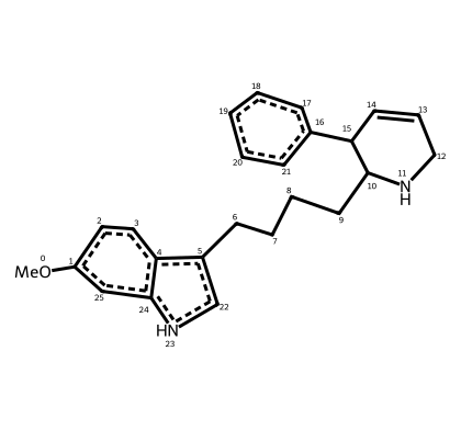 COc1ccc2c(CCCCC3NCC=CC3c3ccccc3)c[nH]c2c1